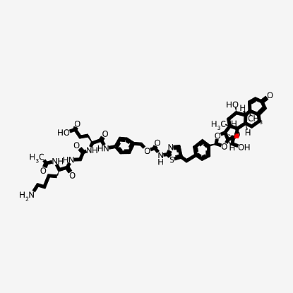 CC(=O)N[C@@H](CCCCN)C(=O)NCC(=O)N[C@@H](CCC(=O)O)C(=O)Nc1ccc(COC(=O)Nc2ncc(Cc3ccc([C@@H]4O[C@@H]5C[C@H]6[C@@H]7CCC8=CC(=O)C=C[C@]8(C)[C@H]7[C@@H](O)C[C@]6(C)[C@]5(C(=O)CO)O4)cc3)s2)cc1